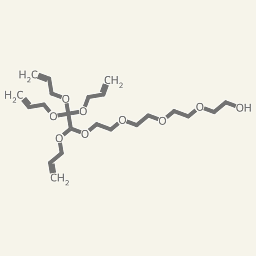 C=CCOC(OCCOCCOCCOCCO)C(OCC=C)(OCC=C)OCC=C